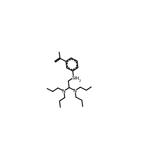 C=C(C)c1cccc([SiH2]CC(N(CCC)CCC)N(CCC)CCC)c1